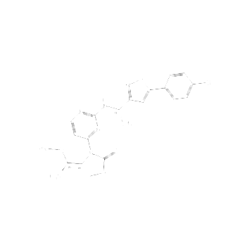 C[C@H](Nc1nccc(N2C(=O)OC[C@@H]2[C@@H](C)OC(C)(C)C)n1)c1cc(-c2ccc(Cl)cc2)on1